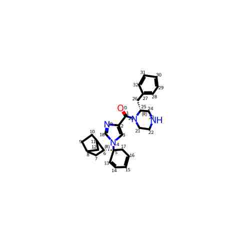 O=C(c1cn(C2([C@@H]3CC4CCC3C4)C=CC=CC2)cn1)N1CCNC[C@H]1Cc1ccccc1